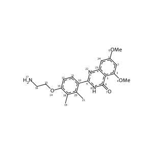 COc1cc(OC)c2c(=O)[nH]c(-c3ccc(OCCN)c(C)c3C)nc2c1